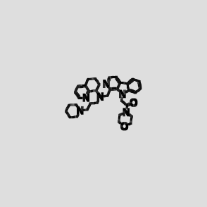 O=C(Cn1c2ccccc2c2ccnc(CN(CCCN3CCCCC3)C3CCCc4cccnc43)c21)N1CCOCC1